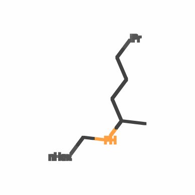 CCCCCCCPC(C)CCCC(C)C